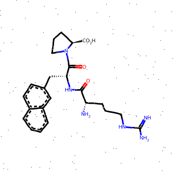 N=C(N)NCCC[C@H](N)C(=O)N[C@H](Cc1ccc2ccccc2c1)C(=O)N1CCC[C@H]1C(=O)O